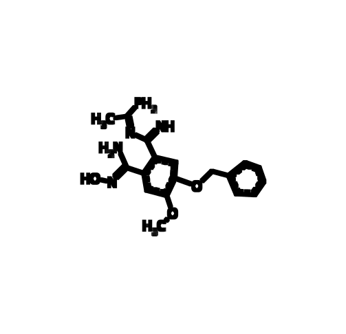 COc1cc(/C(N)=N/O)c(C(=N)/N=C(/C)P)cc1OCc1ccccc1